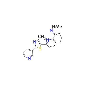 CN/N=C1\CCCc2ccc(-c3sc(-c4cccnc4)nc3C)nc21